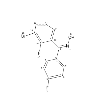 O/N=C(/c1ccc(F)cc1)c1cccc(Br)c1F